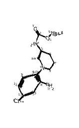 CC(C)(C)OC(=O)NC1CCCN(c2ccc(Cl)cc2N)C1